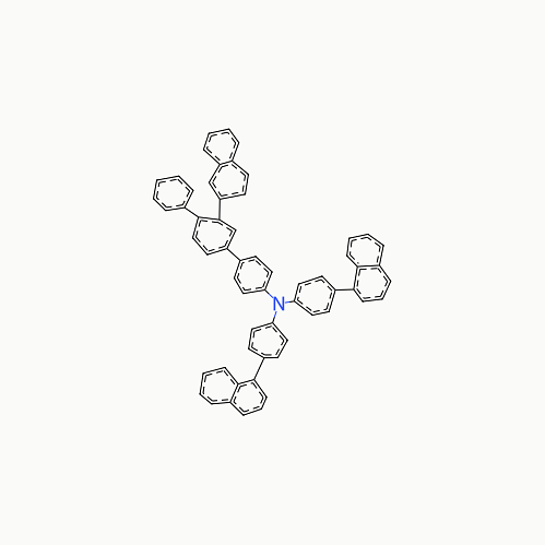 c1ccc(-c2ccc(-c3ccc(N(c4ccc(-c5cccc6ccccc56)cc4)c4ccc(-c5cccc6ccccc56)cc4)cc3)cc2-c2ccc3ccccc3c2)cc1